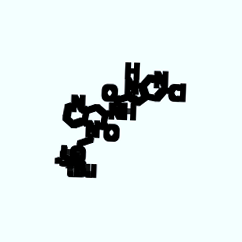 CC(C)(C)[Si](C)(C)OCCN1C(=O)C(NC(=O)c2cc3cc(Cl)ncc3[nH]2)Cc2ncccc21